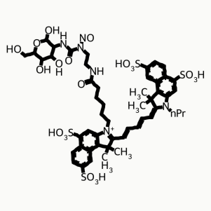 CCCN1/C(=C/C=C/C=C/C2=[N+](CCCCCC(=O)NCCN(N=O)C(=O)NC3C(O)OC(CO)C(O)C3O)c3cc(S(=O)(=O)O)c4ccc(S(=O)(=O)O)cc4c3C2(C)C)C(C)(C)c2c1cc(S(=O)(=O)O)c1ccc(S(=O)(=O)O)cc21